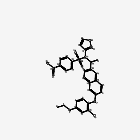 CCOc1ccc(Oc2ccc3cc(C(C)N(c4ccon4)S(=O)(=O)c4ccc([N+](=O)[O-])cc4)ccc3c2)c(Cl)c1